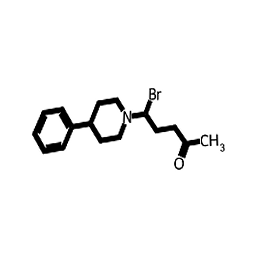 CC(=O)CCC(Br)N1CCC(c2ccccc2)CC1